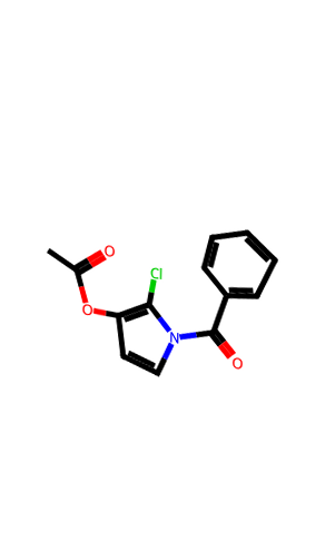 CC(=O)Oc1ccn(C(=O)c2ccccc2)c1Cl